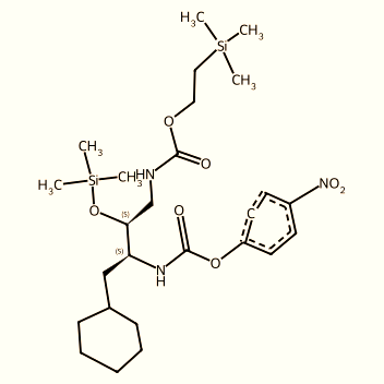 C[Si](C)(C)CCOC(=O)NC[C@H](O[Si](C)(C)C)[C@H](CC1CCCCC1)NC(=O)Oc1ccc([N+](=O)[O-])cc1